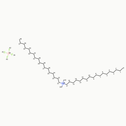 CCCCCCCCCCCCCCCCCC[N+](C)(C)CCCCCCCCCCCCCCCCCC.F[B-](F)(F)F